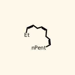 CC/C=C\C/C=C\C/C=C\CCCCC